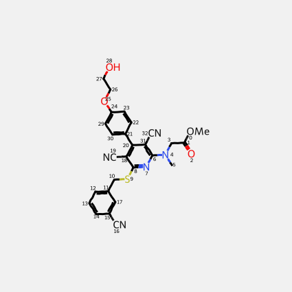 COC(=O)CN(C)c1nc(SCc2cccc(C#N)c2)c(C#N)c(-c2ccc(OCCO)cc2)c1C#N